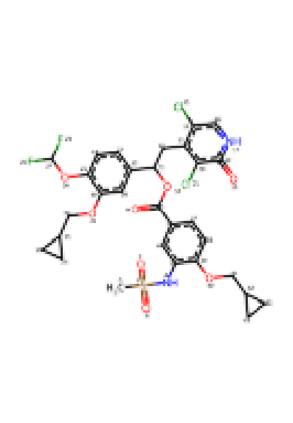 CS(=O)(=O)Nc1cc(C(=O)OC(Cc2c(Cl)c[nH]c(=O)c2Cl)c2ccc(OC(F)F)c(OCC3CC3)c2)ccc1OCC1CC1